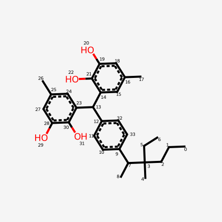 CCCC(C)(CC)C(C)c1ccc(C(c2cc(C)cc(O)c2O)c2cc(C)cc(O)c2O)cc1